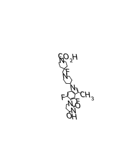 Cc1cn(C2CCN(CC3(F)CCN(C(=O)O)CC3)CC2)c2cc(F)c(N3CCC(=O)NC3=O)c(F)c12